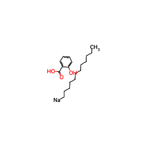 CCCCCCCCCCC[CH2][Na].O=C(O)c1ccccc1O